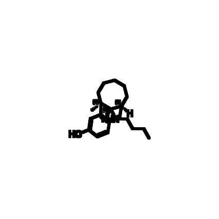 CCCCN[C@H]1[C@H]2CCCCC[C@]1(C)c1cc(O)ccc1C2